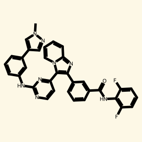 Cn1cc(-c2cccc(Nc3nccc(-c4c(-c5cccc(C(=O)Nc6c(F)cccc6F)c5)nc5ccccn45)n3)c2)cn1